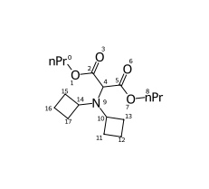 CCCOC(=O)C(C(=O)OCCC)N(C1CCC1)C1CCC1